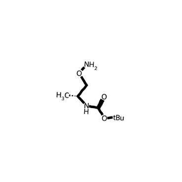 C[C@H](CON)NC(=O)OC(C)(C)C